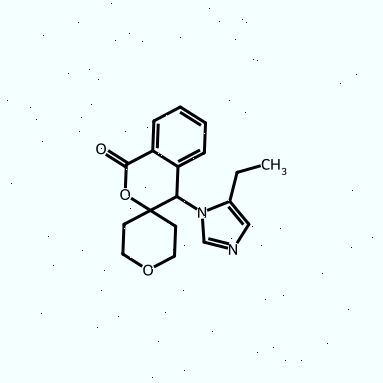 CCc1cncn1C1c2ccccc2C(=O)OC12CCOCC2